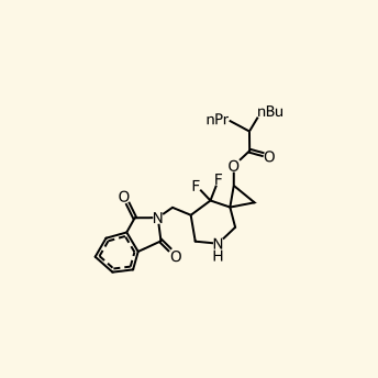 CCCCC(CCC)C(=O)OC1CC12CNCC(CN1C(=O)c3ccccc3C1=O)C2(F)F